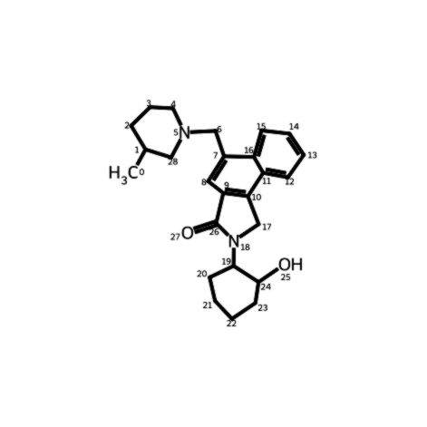 CC1CCCN(Cc2cc3c(c4ccccc24)CN(C2CCCCC2O)C3=O)C1